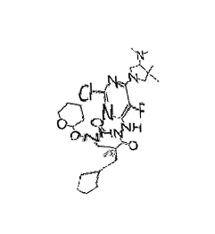 CN(C)C1CN(c2nc(Cl)nc(NNC(=O)[C@@H](CC3CCCC3)CN(C=O)OC3CCCCO3)c2F)CC1(C)C